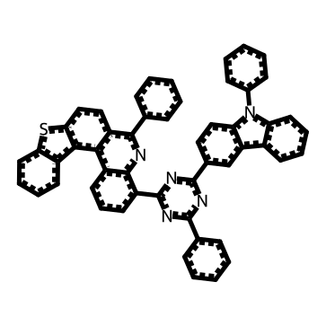 c1ccc(-c2nc(-c3ccc4c(c3)c3ccccc3n4-c3ccccc3)nc(-c3cccc4c3nc(-c3ccccc3)c3ccc5sc6ccccc6c5c34)n2)cc1